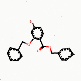 O=C(OCc1ccccc1)c1ccc(Br)cc1OCc1ccccc1